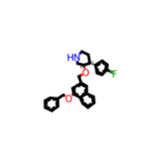 Fc1ccc([C@H]2CCNC[C@@H]2OCc2cc(OCc3ccccc3)c3ccccc3c2)cc1